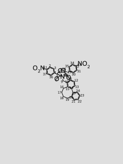 O=[N+]([O-])c1ccc(S(=O)(=O)N(Cc2cccc3c2CCCCc2ccccc2-3)S(=O)(=O)c2ccc([N+](=O)[O-])cc2)cc1